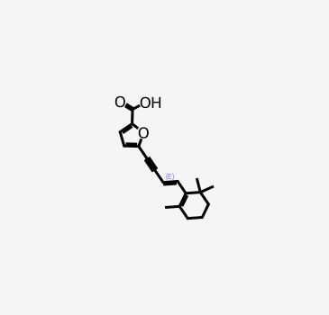 CC1=C(/C=C/C#Cc2ccc(C(=O)O)o2)C(C)(C)CCC1